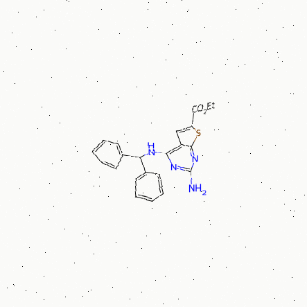 CCOC(=O)c1cc2c(NC(c3ccccc3)c3ccccc3)nc(N)nc2s1